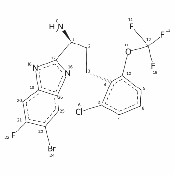 N[C@H]1C[C@H](c2c(Cl)cccc2OC(F)(F)F)n2c1nc1cc(F)c(Br)cc12